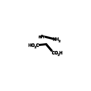 CCCN.O=C(O)CC(=O)O